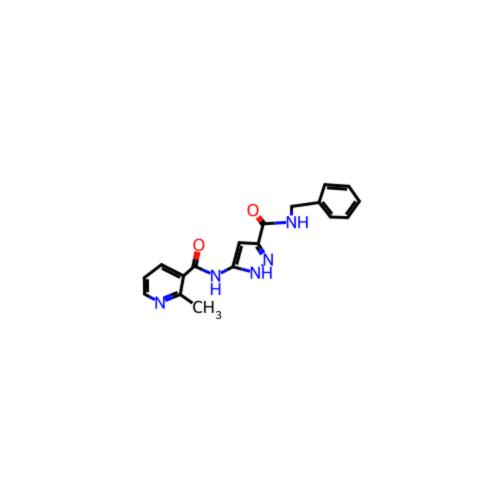 Cc1ncccc1C(=O)Nc1cc(C(=O)NCc2ccccc2)n[nH]1